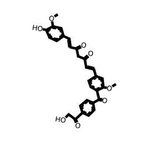 COc1cc(C=CC(=O)CC(=O)C=Cc2ccc(C(=O)c3ccc(C(=O)CO)cc3)c(OC)c2)ccc1O